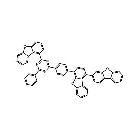 c1ccc(-c2nc(-c3ccc(-c4ccc(-c5ccc6c(c5)oc5ccccc56)c5c4oc4ccccc45)cc3)nc(-c3cccc4oc5ccccc5c34)n2)cc1